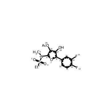 CCS(=O)(=O)N(C)c1oc(-c2ccc(F)c(F)c2)c(O)c1OC(C)=O